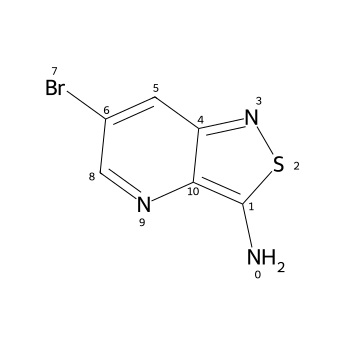 Nc1snc2cc(Br)cnc12